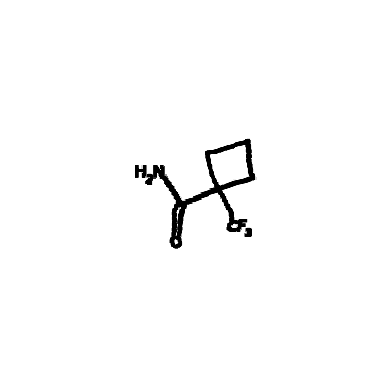 NC(=O)C1(C(F)(F)F)CCC1